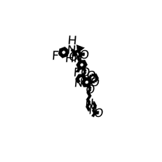 CC(=O)N1CCN(CCCOc2cc3nccc(Oc4ccc(NC(=O)C5(C(=O)Nc6ccc(F)cc6)CC5)cc4F)c3c3c2OCCO3)CC1